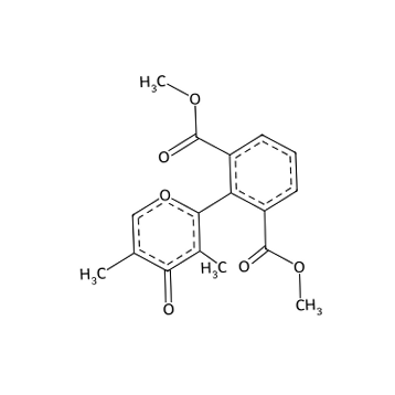 COC(=O)c1cccc(C(=O)OC)c1-c1occ(C)c(=O)c1C